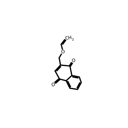 C=COCC1=CC(=O)c2ccccc2C1=O